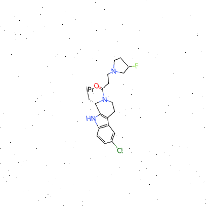 CC(C)C[C@H]1c2[nH]c3ccc(Cl)cc3c2CCN1C(=O)CCN1CCC(F)C1